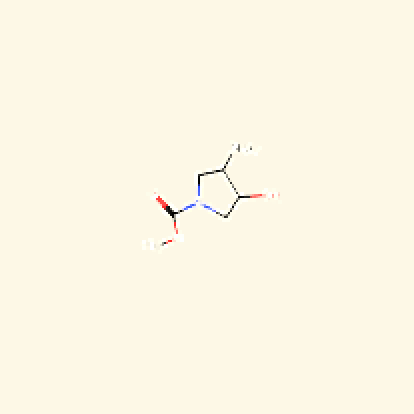 CC(=O)NC1CN(C(=O)OC(C)(C)C)CC1O